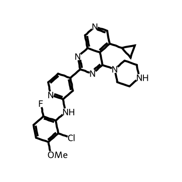 COc1ccc(F)c(Nc2cc(-c3nc(N4CCNCC4)c4c(C5CC5)cncc4n3)ccn2)c1Cl